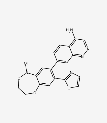 Nc1cnnc2cc(-c3cc4c(cc3-c3ncco3)OCCOB4O)ccc12